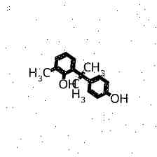 Cc1cccc(C(C)(C)c2ccc(O)cc2)c1O